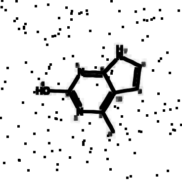 Cc1nc(O)nc2[nH]ccc12